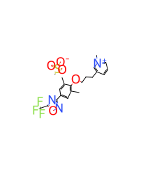 CS(=O)(=O)[O-].Cc1cc(-c2noc(C(F)(F)F)n2)cc(C)c1OCCCc1ccc[n+](C)c1